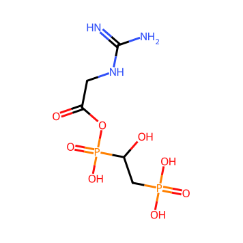 N=C(N)NCC(=O)OP(=O)(O)C(O)CP(=O)(O)O